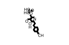 C#Cc1ccc(CCc2ncc(COP(=O)(O)O)c(C=O)c2O)cc1